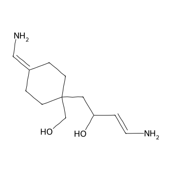 NC=CC(O)CC1(CO)CCC(=CN)CC1